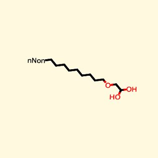 CCCCCCCCCCCCCCCCCCOCC(O)O